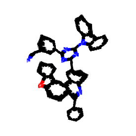 N#Cc1cccc(-c2nc(-c3ccc4nc(-c5ccccc5)c5ccc6oc7ccccc7c6c5c4c3)nc(-n3c4ccccc4c4ccccc43)n2)c1